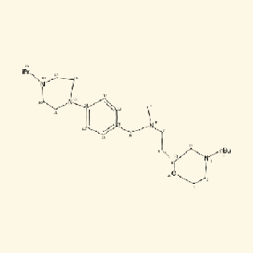 CCCCN1CCO[C@H](CCN(C)Cc2ccc(N3CCN(C(C)C)CC3)cc2)C1